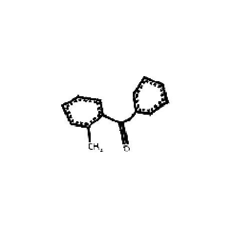 Cc1ccc[c]c1C(=O)c1ccccc1